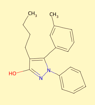 CCCCc1c(O)nn(-c2ccccc2)c1-c1cccc(C)c1